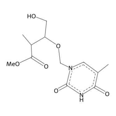 COC(=O)C(C)C(CO)OCn1cc(C)c(=O)[nH]c1=O